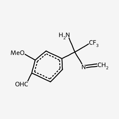 C=NC(N)(c1ccc(C=O)c(OC)c1)C(F)(F)F